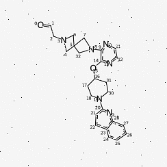 O=CCN1CC2(C1)CN(c1nccnc1OC1CCN(c3ccc4ccccc4n3)CC1)C2